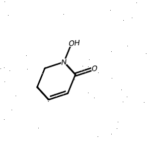 O=C1C=[C]CCN1O